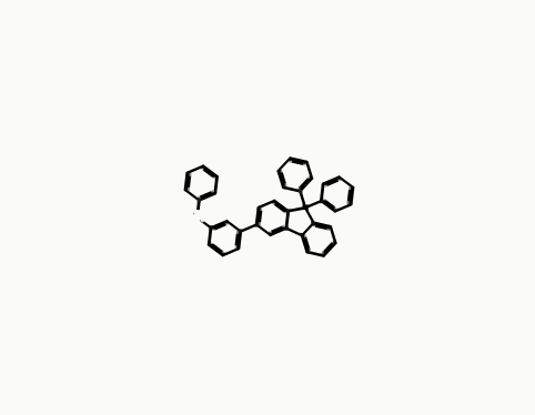 c1ccc(Nc2cccc(-c3ccc4c(c3)-c3ccccc3C4(c3ccccc3)c3ccccc3)c2)cc1